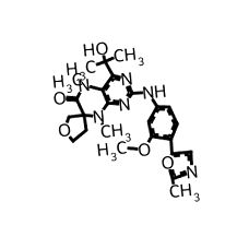 COc1cc(Nc2nc3c(c(C(C)(C)O)n2)N(C)C(=O)C2(CCOC2)N3C)ccc1-c1cnc(C)o1